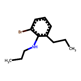 CCCNc1c(Br)cccc1CCC